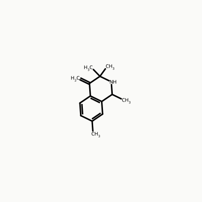 C=C1c2ccc(C)cc2C(C)NC1(C)C